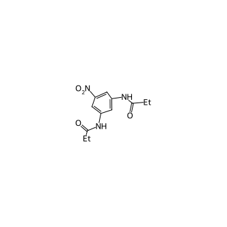 CCC(=O)Nc1cc(NC(=O)CC)cc([N+](=O)[O-])c1